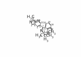 Cc1ncc2cc(C3=NC(C)(C)C(C)(C)c4c(F)cccc43)cnn12